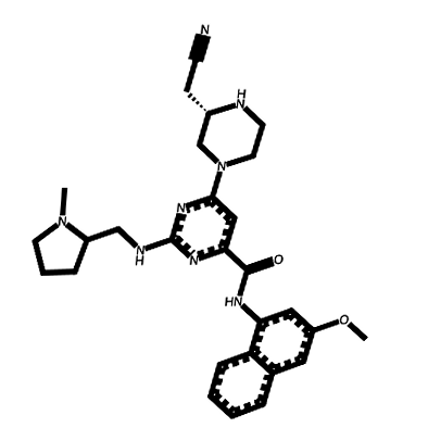 COc1cc(NC(=O)c2cc(N3CCN[C@@H](CC#N)C3)nc(NCC3CCCN3C)n2)c2ccccc2c1